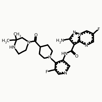 CC1(C)CN(C(=O)C2CCN(c3c(F)cncc3NC(=O)c3c(N)nn4cc(F)cnc34)CC2)CCN1